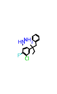 CCC(C)(Cc1ccccc1)c1ccc(F)c(Cl)c1.CNN